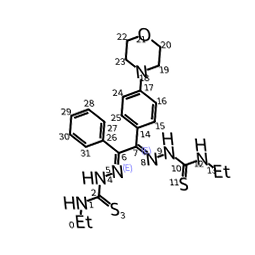 CCNC(=S)N/N=C(/C(=N/NC(=S)NCC)c1ccc(N2CCOCC2)cc1)c1ccccc1